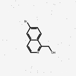 OCc1nccc2cc(Br)ccc12